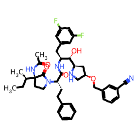 CC[C@@H](C)[C@@]1(NC(C)=O)CCN([C@@H](CCc2ccccc2)C(=O)N[C@@H](Cc2cc(F)cc(F)c2)[C@H](O)[C@H]2C[C@@H](OCc3cccc(C#N)c3)CN2)C1=O